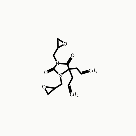 C=CCC1(CC=C)C(=O)N(CC2CO2)C(=O)N1CC1CO1